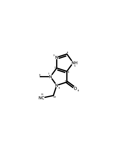 Cn1c2nc[nH]c2c(=O)n1CC#N